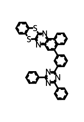 c1ccc(-c2nc(-c3ccccc3)nc(-c3cccc(-c4cc5nc6c(nc5c5ccccc45)Sc4ccccc4S6)c3)n2)cc1